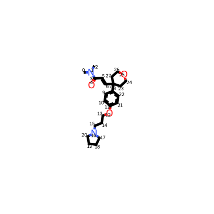 CN(C)C(=O)C=CC1(c2ccc(OCCCN3CCCC3)cc2)CCOCC1